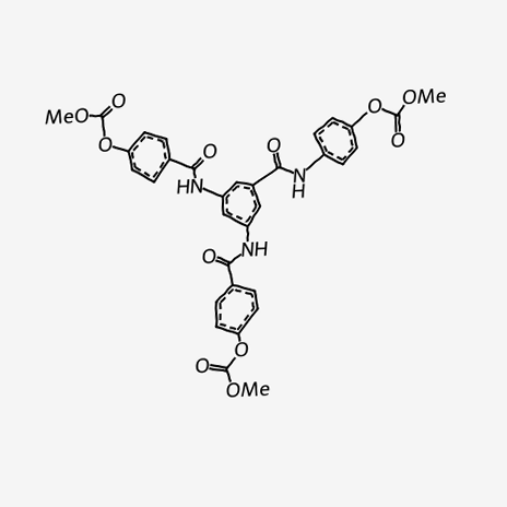 COC(=O)Oc1ccc(NC(=O)c2cc(NC(=O)c3ccc(OC(=O)OC)cc3)cc(NC(=O)c3ccc(OC(=O)OC)cc3)c2)cc1